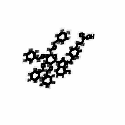 Cc1cccc2c([C@@H]3O[C@H](COCc4ccccc4)[C@@H](OCc4ccccc4)[C@H](OCc4ccccc4)[C@H]3OCc3ccccc3)cn(Cc3ccc(C=CC(=O)O)cc3)c12